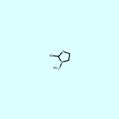 O=C(O)N1CCSC1S